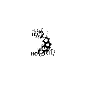 CC(C)(C)OC(=O)N1CCc2cccc(CN(CC(=O)O)C(=O)C(C)(C)C)c2C1